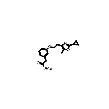 COC(=O)Cc1cccc(OCCc2nc(C3CC3)oc2C)c1